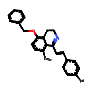 COc1ccc(OCc2ccccc2)c2c1C(C=Cc1ccc(C#N)cc1)=NCC2